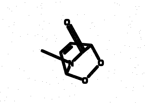 CN1C(=O)C2C=CC1OO2